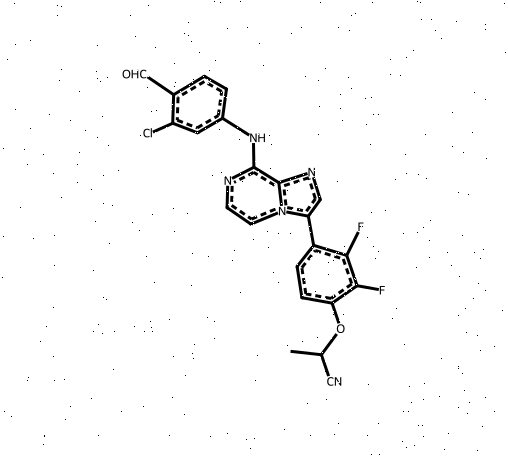 CC(C#N)Oc1ccc(-c2cnc3c(Nc4ccc(C=O)c(Cl)c4)nccn23)c(F)c1F